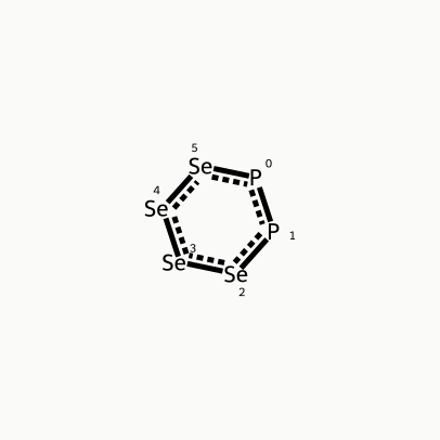 p1p[se][se][se][se]1